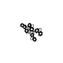 B1c2cc3oc4ccccc4c3cc2N(c2ccc3oc4ccccc4c3c2)c2cc3oc4ccccc4c3c(-c3cccc4c3[nH]c3cc5ccccc5cc34)c21